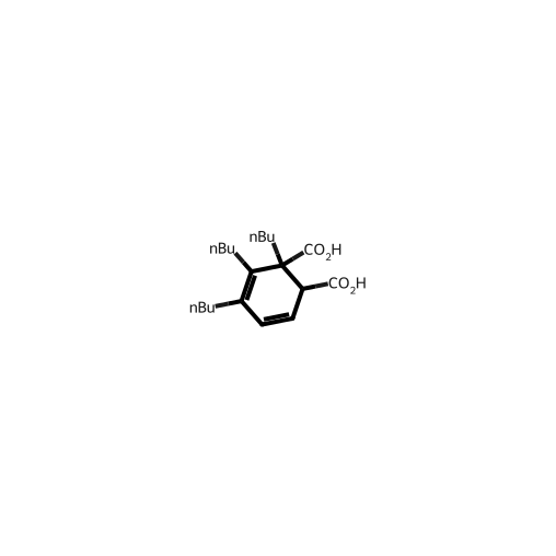 CCCCC1=C(CCCC)C(CCCC)(C(=O)O)C(C(=O)O)C=C1